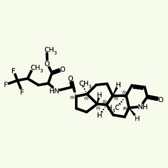 COC(=O)C(CC(C)C(F)(F)F)NC(=O)[C@H]1CC[C@H]2[C@@H]3CC[C@H]4NC(=O)C=C[C@]4(C)[C@H]3CC[C@]12C